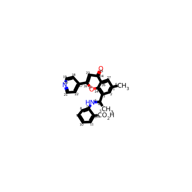 Cc1cc(C(C)Nc2ccccc2C(=O)O)c2oc(-c3ccncc3)cc(=O)c2c1